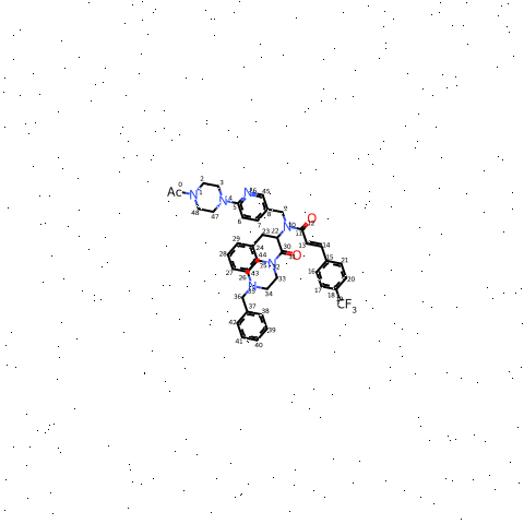 CC(=O)N1CCN(c2ccc(CN(C(=O)C=Cc3ccc(C(F)(F)F)cc3)C(Cc3ccccc3)C(=O)N3CCN(Cc4ccccc4)CC3)cn2)CC1